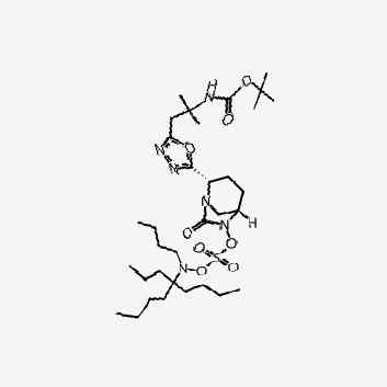 CCCCN(OS(=O)(=O)ON1C(=O)N2C[C@@H]1CC[C@H]2c1nnc(CC(C)(C)NC(=O)OC(C)(C)C)o1)C(CCC)(CCCC)CCCC